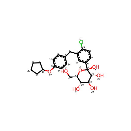 OC[C@H]1O[C@](O)(c2ccc(Cl)c(Cc3ccc(OC4CCCC4)cc3)c2)[C@H](O)[C@@H](O)[C@@H]1O